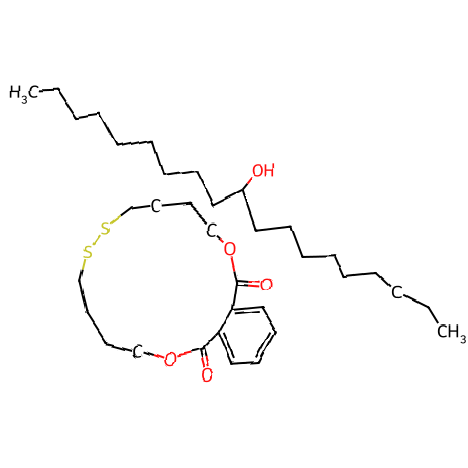 CCCCCCCCCC(O)CCCCCCCCC.O=C1OCCCCSSCCCCOC(=O)c2ccccc21